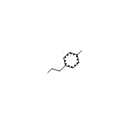 NCCc1ccc(F)cc1.[PbH2]